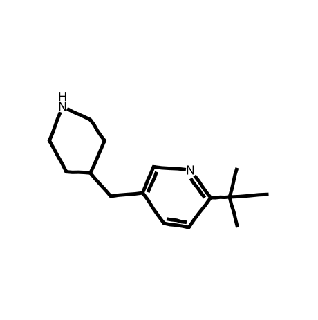 CC(C)(C)c1ccc(CC2CCNCC2)cn1